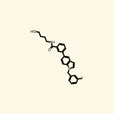 O=C(NCCCCO)c1cccc(-c2ccc3c(ccn3Cc3cccc(F)c3)c2)c1